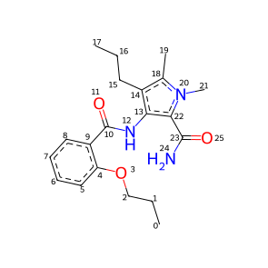 CCCOc1ccccc1C(=O)Nc1c(CCC)c(C)n(C)c1C(N)=O